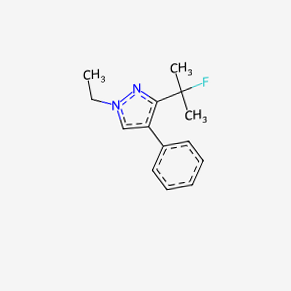 CCn1cc(-c2ccccc2)c(C(C)(C)F)n1